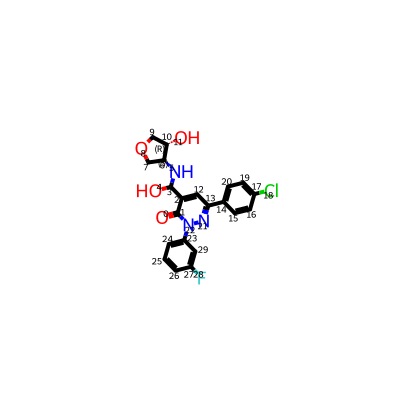 O=c1c(C(O)N[C@H]2COC[C@@H]2O)cc(-c2ccc(Cl)cc2)nn1-c1cccc(F)c1